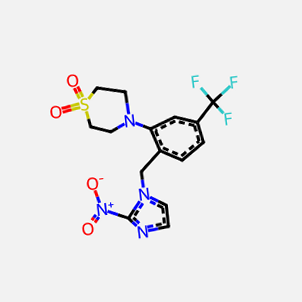 O=[N+]([O-])c1nccn1Cc1ccc(C(F)(F)F)cc1N1CCS(=O)(=O)CC1